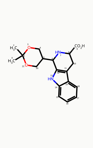 CC1(C)OCC(C2NC(C(=O)O)Cc3c2[nH]c2ccccc32)CO1